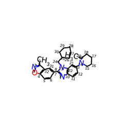 Cc1noc2ccc(-c3nc4ccc(N5CCCCC5C)cc4n3CC3CCCCC3)cc12